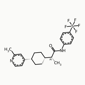 Cc1cc([C@H]2CC[C@@H]([C@@H](C)C(=O)Nc3ccc(S(F)(F)(F)(F)F)cc3)CC2)ccn1